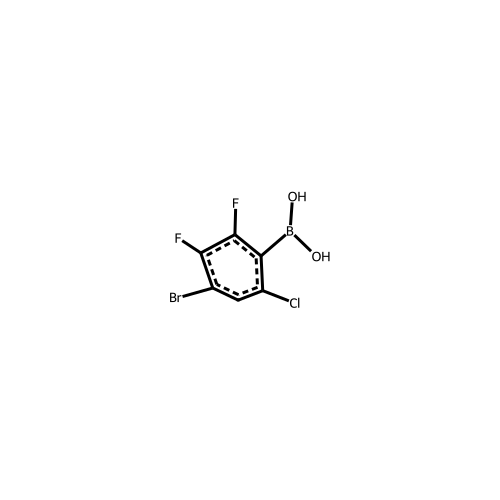 OB(O)c1c(Cl)cc(Br)c(F)c1F